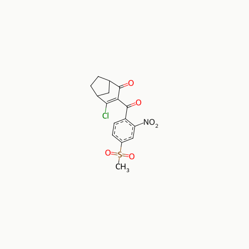 CS(=O)(=O)c1ccc(C(=O)C2=C(Cl)C3CCC(C3)C2=O)c([N+](=O)[O-])c1